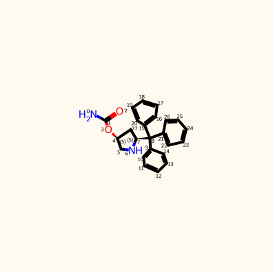 NC(=O)O[C@@H]1CN[C@H](C(c2ccccc2)(c2ccccc2)c2ccccc2)C1